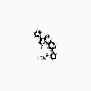 C=C1C(n2ccnc2)=CNN1c1cc(N2CCC[C@@H]2COC)ncn1